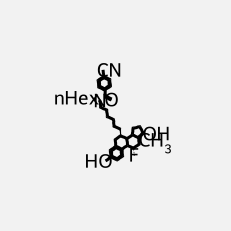 CCCCCCN(CCCCCC[C@@H]1Cc2cc(O)ccc2C2C1C1CC[C@H](O)[C@@]1(C)C[C@@H]2F)C(=O)c1ccc(C#N)cc1